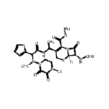 CCN1CCN(N(C=O)C(C(=O)NC(OC(C)=O)C2=C(C(=O)OC(C)(C)C)N3C(=O)[C@@H](NC=O)[C@H]3SC2)c2cccs2)C(=O)C1=O